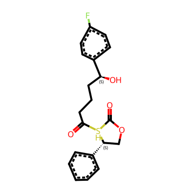 O=C(CCC[C@H](O)c1ccc(F)cc1)[SH]1C(=O)OC[C@@H]1c1ccccc1